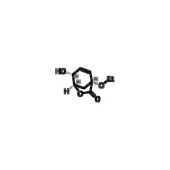 CCO[C@@]12C=C[C@@H](O)[C@@H](C1)OC2=O